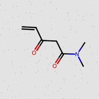 C=CC(=O)CC(=O)N(C)C